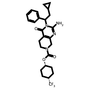 Nc1nc2c(c(=O)n1C(CC1CC1)c1ccccc1)CCN(C(=O)O[C@H]1CC[C@@H](C(F)(F)F)CC1)C2